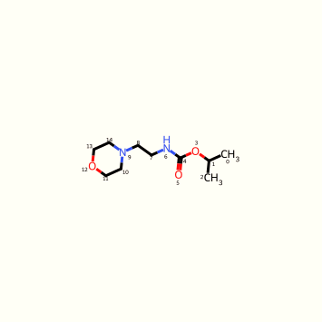 CC(C)OC(=O)NCCN1CCOCC1